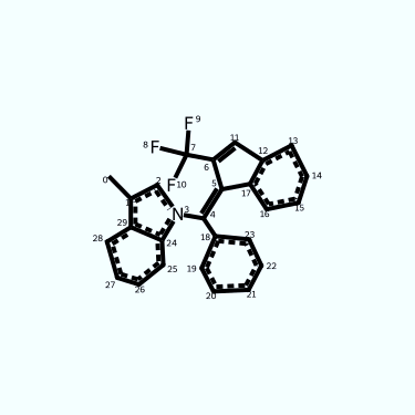 Cc1cn(C(=C2C(C(F)(F)F)=Cc3ccccc32)c2ccccc2)c2ccccc12